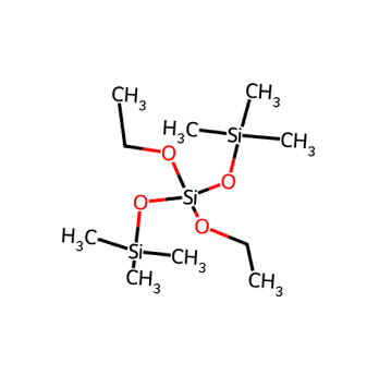 CCO[Si](OCC)(O[Si](C)(C)C)O[Si](C)(C)C